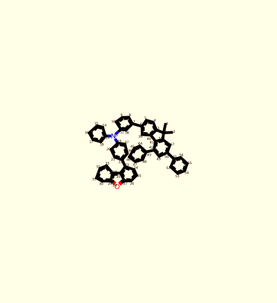 CC1(C)c2ccc(-c3cccc(N(c4ccccc4)c4ccc(-c5cccc6oc7ccccc7c56)cc4)c3)cc2-c2c(-c3ccccc3)cc(-c3ccccc3)cc21